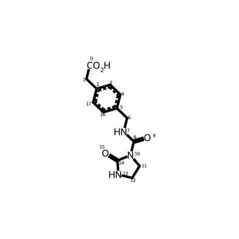 O=C(O)Cc1ccc(CNC(=O)N2CCNC2=O)cc1